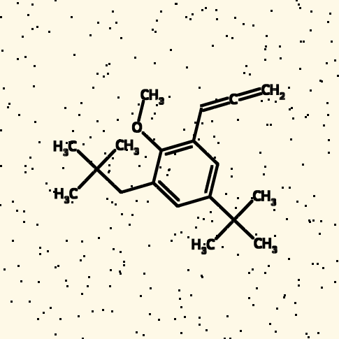 C=C=Cc1cc(C(C)(C)C)cc(CC(C)(C)C)c1OC